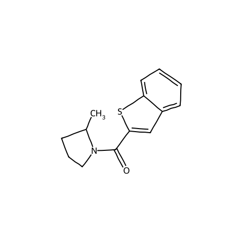 CC1CCCN1C(=O)c1cc2ccccc2s1